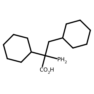 O=C(O)C(P)(CC1CCCCC1)C1CCCCC1